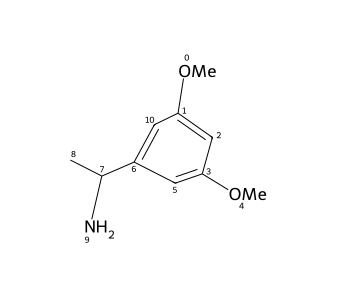 COc1cc(OC)cc(C(C)N)c1